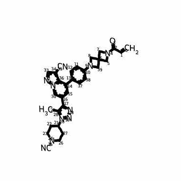 C=CC(=O)N1CC2(C1)CN(c1ccc(-c3cc(-c4nnn(C5CCN(C#N)CC5)c4C)cn4ncc(C#N)c34)cc1)C2